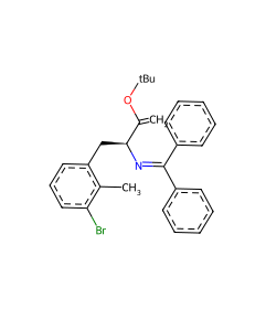 C=C(OC(C)(C)C)[C@H](Cc1cccc(Br)c1C)N=C(c1ccccc1)c1ccccc1